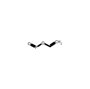 C=COP=O